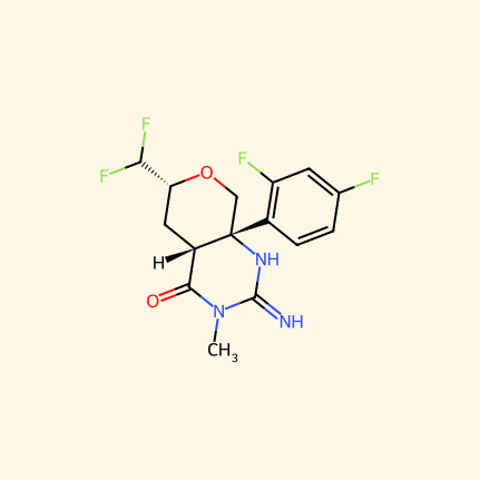 CN1C(=N)N[C@@]2(c3ccc(F)cc3F)CO[C@@H](C(F)F)C[C@H]2C1=O